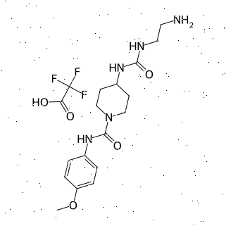 COc1ccc(NC(=O)N2CCC(NC(=O)NCCN)CC2)cc1.O=C(O)C(F)(F)F